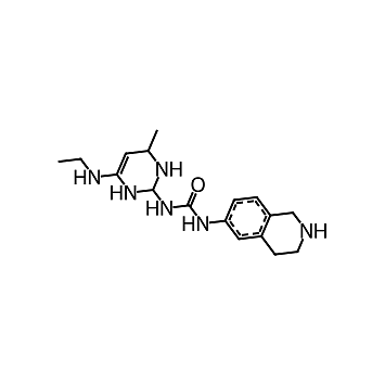 CCNC1=CC(C)NC(NC(=O)Nc2ccc3c(c2)CCNC3)N1